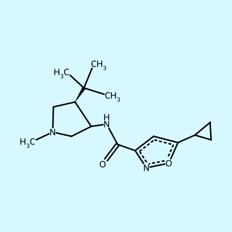 CN1CC(NC(=O)c2cc(C3CC3)on2)[C@H](C(C)(C)C)C1